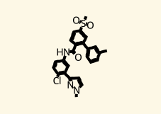 Cc1cccc(-c2cc(S(C)(=O)=O)ccc2C(=O)Nc2ccc(Cl)c(-c3ccn(C)n3)c2)c1